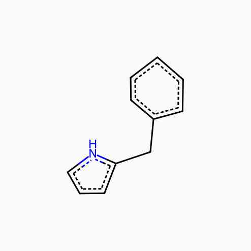 c1ccc(Cc2ccc[nH]2)cc1